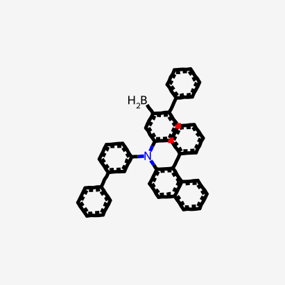 Bc1cc(N(c2cccc(-c3ccccc3)c2)c2ccc3ccccc3c2-c2ccccc2)ccc1-c1ccccc1